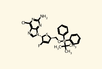 CC(C)(C)[Si](OC[C@H]1C=C(F)[C@H](n2cnc3c(Cl)nc(N)nc32)S1)(c1ccccc1)c1ccccc1